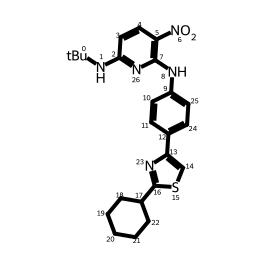 CC(C)(C)Nc1ccc([N+](=O)[O-])c(Nc2ccc(-c3csc(C4CCCCC4)n3)cc2)n1